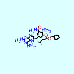 C[C@@H](CCC(=O)OCc1ccccc1)C[C@@H](c1ccc(N)c(C(N)=O)c1)c1cnc2nc(N)nc(N)c2n1